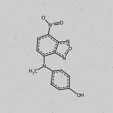 CN(c1ccc(O)cc1)c1ccc([N+](=O)[O-])c2nonc12